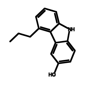 CCCc1cccc2[nH]c3ccc(O)cc3c12